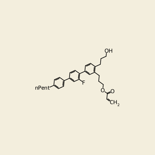 C=CC(=O)OCCCc1cc(-c2ccc(-c3ccc(CCCCC)cc3)cc2F)ccc1CCCO